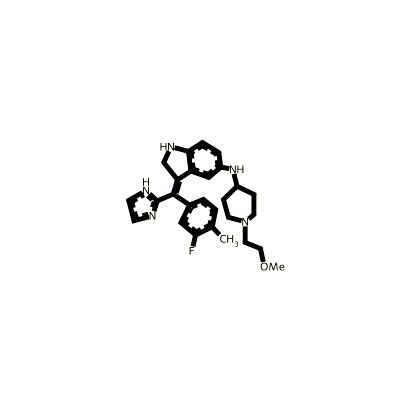 COCCN1CCC(Nc2ccc3c(c2)/C(=C(\c2ccc(C)c(F)c2)c2ncc[nH]2)CN3)CC1